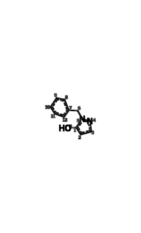 Oc1ccnn1Cc1ccccc1